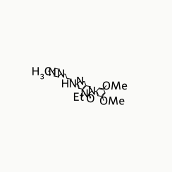 CCN1C(=O)N(c2cc(OC)cc(OC)c2)Cc2cnc(NCCCN3CCN(C)CC3)cc21